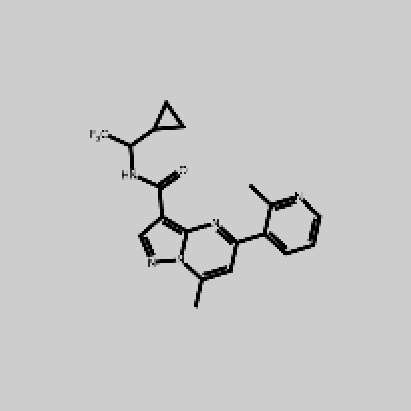 Cc1ncccc1-c1cc(C)n2ncc(C(=O)NC(C3CC3)C(F)(F)F)c2n1